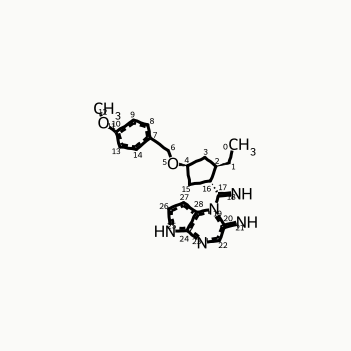 CC[C@@H]1C[C@H](OCc2ccc(OC)cc2)C[C@H]1C(=N)n1c(=N)cnc2[nH]ccc21